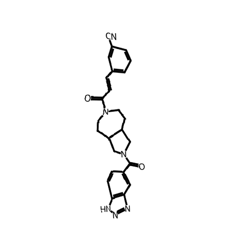 N#Cc1cccc(/C=C/C(=O)N2CCC3CN(C(=O)c4ccc5[nH]nnc5c4)CC3CC2)c1